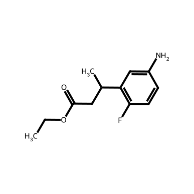 CCOC(=O)CC(C)c1cc(N)ccc1F